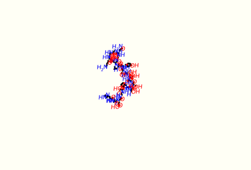 CC(C)C[C@H](NC(=O)[C@H](Cc1ccc(O)cc1)NC(=O)[C@H](CO)NC(=O)[C@H](CO)NC(=O)[C@@H](NC(=O)[C@H](CC(=O)O)NC(=O)[C@H](CO)NC(=O)[C@@H](NC(=O)[C@@H](Cc1ccccc1)NC(=O)[C@@H](NC(=O)CNC(=O)[C@H](CCC(=O)O)NC(=O)C(C)(C)NC(=O)[C@@H](N)Cc1c[nH]cn1)[C@@H](C)O)[C@@H](C)O)C(C)C)C(=O)N[C@@H](CCC(=O)O)C(=O)NCC(=O)N[C@@H](CCC(N)=O)C(=O)N[C@@H](C)C(=O)N[C@@H](C)C(=O)N[C@@H](CCCCN)C(=O)O